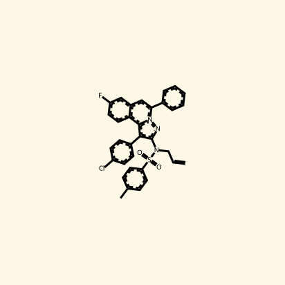 C=CCN(c1nn2c(-c3ccccc3)cc3cc(F)ccc3c2c1-c1ccc(Cl)cc1)S(=O)(=O)c1ccc(C)cc1